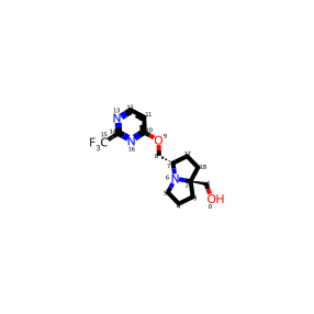 OC[C@@]12CCCN1[C@H](COc1ccnc(C(F)(F)F)n1)CC2